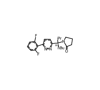 CCCC[C@@](c1ccc(-c2c(F)cccc2F)nn1)(C(C)C)N1CCCC1=O